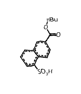 CCCCOC(=O)c1ccc2c(S(=O)(=O)O)cccc2c1